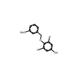 COc1cccc(COc2c(Cl)cc(O)cc2Cl)c1